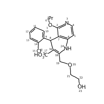 CC(C)Oc1nccc2c1C(c1ccccc1C(F)(F)F)C(C(=O)O)=C(COCCO)N2